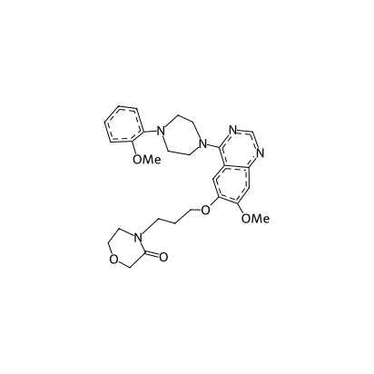 COc1cc2ncnc(N3CCN(c4ccccc4OC)CC3)c2cc1OCCCN1CCOCC1=O